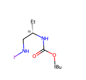 CC[C@@H](CNI)NC(=O)OC(C)(C)C